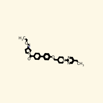 CCO/N=C1\CCN(C(=O)C2CC=C(c3ccc(OCC4CCN(c5ncc(CC)cn5)CC4)cc3)CC2)C1